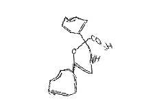 O=C(O)C1(c2ccccc2)NC=C(c2ccncc2)O1